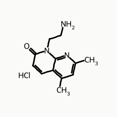 Cc1cc(C)c2ccc(=O)n(CCN)c2n1.Cl